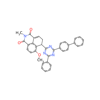 COc1ccc2c3c1C(c1nc(-c4ccccc4)nc(-c4ccc(-c5ccccc5)cc4)n1)CC=C3C(=O)N(C)C2=O